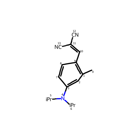 Cc1cc(N(C(C)C)C(C)C)ccc1C=C(C#N)C#N